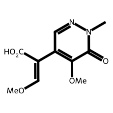 COC=C(C(=O)O)c1cnn(C)c(=O)c1OC